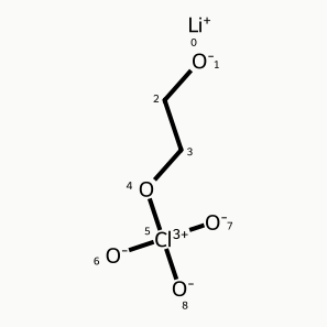 [Li+].[O-]CCO[Cl+3]([O-])([O-])[O-]